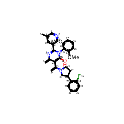 C=C1N=C(c2cncc(C)c2)N(c2c(OC)cccc2OC)C(O)=C1C(=C)N1CCC(c2ccccc2F)C1